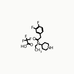 CCN(C(=O)Cc1ccc(F)c(F)c1)C1CCNCC1.O=C(O)C(F)(F)F